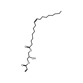 C=CC(=O)OCC(O)COC(=O)CCCCCCC/C=C\CCCCCCCC